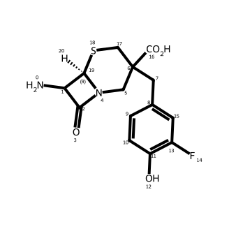 NC1C(=O)N2CC(Cc3ccc(O)c(F)c3)(C(=O)O)CS[C@H]12